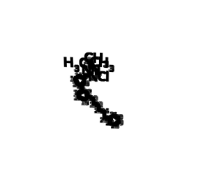 CC(C)(C)c1nc(Cl)nc(-c2cccc(-c3cccc(CCCCCCc4ccccc4)c3)c2)n1